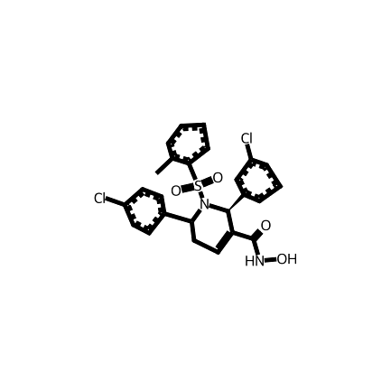 Cc1ccccc1S(=O)(=O)N1C(c2ccc(Cl)cc2)CC=C(C(=O)NO)[C@@H]1c1cccc(Cl)c1